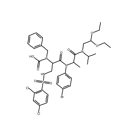 CCOC(CN(C(=O)C(C)N(C(=O)C(CNS(=O)(=O)c1ccc(Cl)cc1Cl)N(Cc1ccccc1)C(=O)O)c1ccc(Br)cc1)C(C)C)OCC